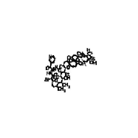 CC[C@@H](C(=O)[C@@H](C)[C@@H](O)[C@H](C)[C@@H]1O[C@@H]([C@@H](CC)C(=O)NNC(=O)c2cccnc2)CCC1C)[C@H]1O[C@]2(C=C[C@@H](O)[C@]3(CC[C@@](C)([C@H]4CC[C@](O)(CC)[C@H](C)O4)O3)O2)[C@H](C)C[C@@H]1C